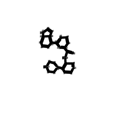 O=C(Nc1cnccc1N1CCNCC1)c1ccnc(-c2cccc3[nH]ccc23)n1